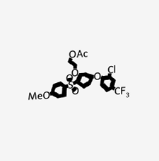 COc1ccc(S(=O)(=O)c2ccc(Oc3ccc(C(F)(F)F)cc3Cl)cc2OCCOC(C)=O)cc1